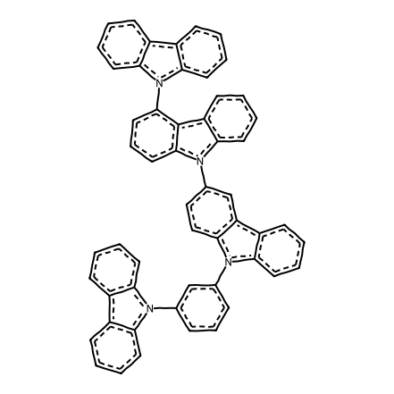 c1cc(-n2c3ccccc3c3ccccc32)cc(-n2c3ccccc3c3cc(-n4c5ccccc5c5c(-n6c7ccccc7c7ccccc76)cccc54)ccc32)c1